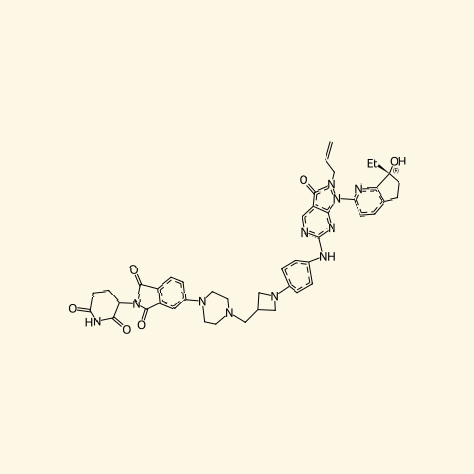 C=CCn1c(=O)c2cnc(Nc3ccc(N4CC(CN5CCN(c6ccc7c(c6)C(=O)N(C6CCC(=O)NC6=O)C7=O)CC5)C4)cc3)nc2n1-c1ccc2c(n1)[C@@](O)(CC)CC2